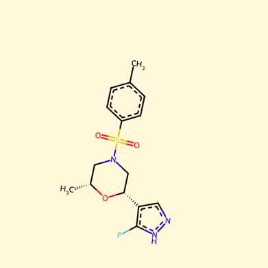 Cc1ccc(S(=O)(=O)N2C[C@@H](C)O[C@@H](c3cn[nH]c3F)C2)cc1